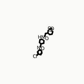 O=C(CC1CCCS(=O)(=O)C1)NC1CCC(c2nc3cc(Cl)ccc3o2)CC1